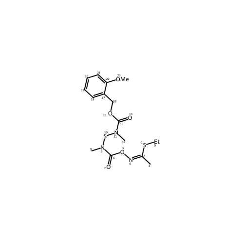 CCSC(C)=NOC(=O)N(C)SN(C)C(=O)OCc1ccccc1OC